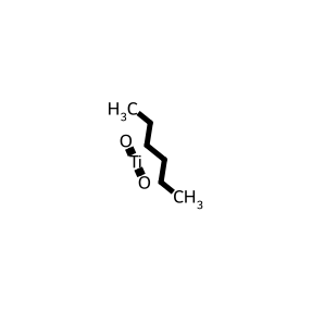 CCCCCC.[O]=[Ti]=[O]